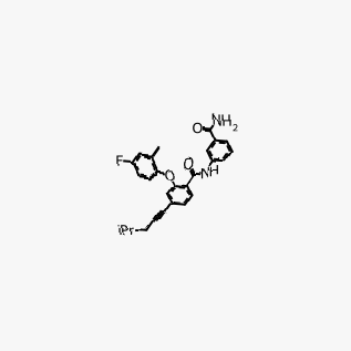 Cc1cc(F)ccc1Oc1cc(C#CCC(C)C)ccc1C(=O)Nc1cccc(C(N)=O)c1